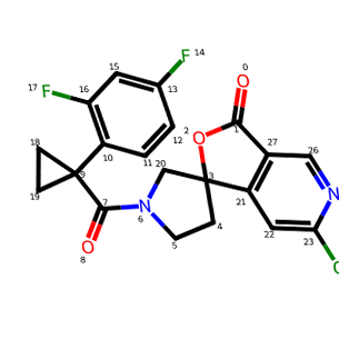 O=C1OC2(CCN(C(=O)C3(c4ccc(F)cc4F)CC3)C2)c2cc(Cl)ncc21